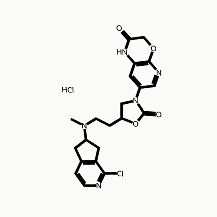 CN(CCC1CN(c2cnc3c(c2)NC(=O)CO3)C(=O)O1)C1Cc2ccnc(Cl)c2C1.Cl